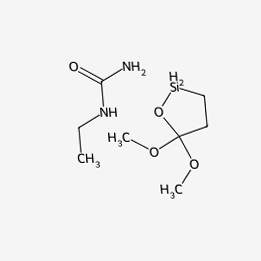 CCNC(N)=O.COC1(OC)CC[SiH2]O1